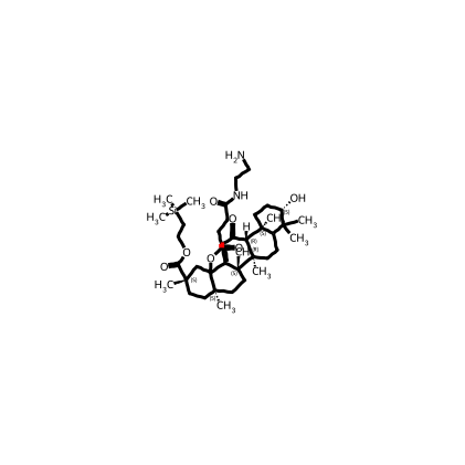 CC1(C)C2CC[C@]3(C)[C@H](C(=O)C=C4C5(OC(=O)CCC(=O)NCCN)C[C@@](C)(C(=O)OCC[Si](C)(C)C)CC[C@]5(C)CC[C@]43C)[C@@]2(C)CC[C@@H]1O